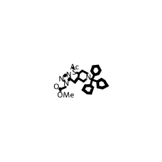 COC(=O)Cn1ncnc1C=C1CN(C(c2ccccc2)(c2ccccc2)c2ccccc2)CCC1SC(C)=O